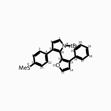 CSc1ccc(-c2ccn(C(C)(C)C)c2-c2occc2-c2ccccc2)cc1